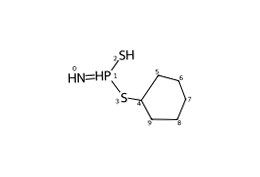 N=[PH](S)SC1CCCCC1